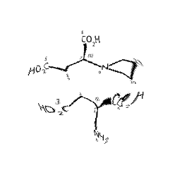 N[C@@H](CC(=O)O)C(=O)O.O=C(O)C[C@@H](C(=O)O)N1CC1